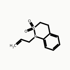 C=CCN1c2ccccc2CCS1(=O)=O